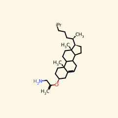 C=C(CN)O[C@H]1CC[C@@]2(C)C(=CCC3C2CC[C@@]2(C)C3CC[C@@H]2[C@H](C)CCCC(C)C)C1